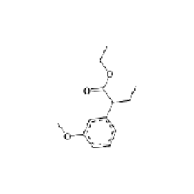 CCOC(=O)C(CC)c1cccc(OC)c1